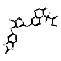 O=C1CCc2cc(Nc3ncc(F)c(Nc4ccc5oc(=O)[nH]c5c4)n3)ccc2N1C(F)(F)C(=O)OF